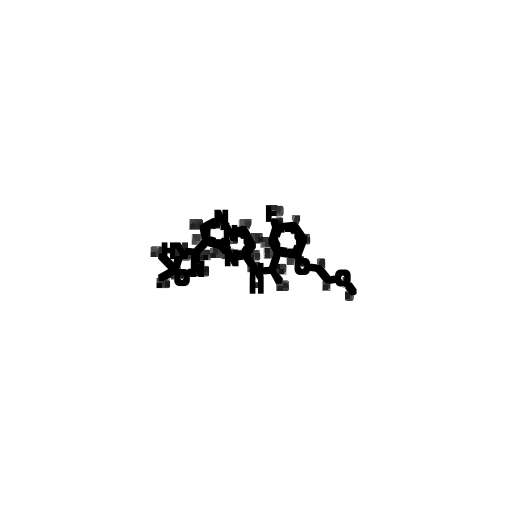 COCCOc1ccc(F)cc1[C@@H](C)Nc1ccn2ncc(C3=NOC(C)(C)N3)c2n1